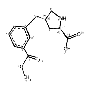 COC(=O)c1cccc(C[C@@H]2CN[C@@H](C(=O)O)C2)c1